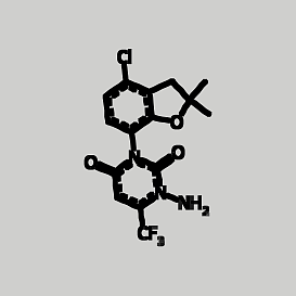 CC1(C)Cc2c(Cl)ccc(-n3c(=O)cc(C(F)(F)F)n(N)c3=O)c2O1